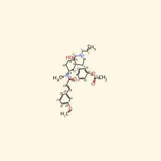 C=CCN1CC[C@@]2(c3cccc(OC(C)=O)c3)C[C@@H](N(C)C(=O)C=Cc3cccc(OC)c3)CC[C@]2(O)C1